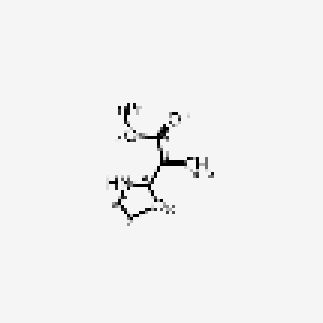 C=C(C(=O)OCCC)C1NCCO1